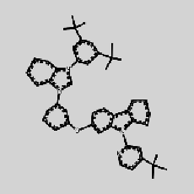 CC(C)(C)c1cc(-[n+]2cn(-c3cccc(Oc4ccc5c6ccccc6n(-c6cc(C(C)(C)C)ccn6)c5c4)c3)c3ccccc32)cc(C(C)(C)C)c1